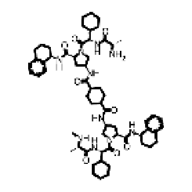 CN[C@@H](C)C(=O)N[C@H](C(=O)N1C[C@@H](NC(=O)C2CCC(C(=O)N[C@H]3C[C@@H](C(=O)N[C@@H]4CCCc5ccccc54)N(C(=O)[C@@H](NC(=O)[C@H](C)N)C4CCCCC4)C3)CC2)C[C@H]1C(=O)N[C@@H]1CCCc2ccccc21)C1CCCCC1